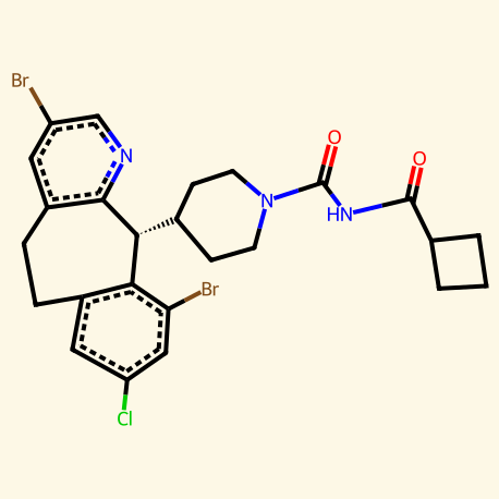 O=C(NC(=O)N1CCC([C@H]2c3ncc(Br)cc3CCc3cc(Cl)cc(Br)c32)CC1)C1CCC1